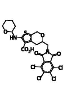 O=C(O)c1c(NC2CCCCO2)sc2c1CC(CN1C(=O)c3c(Cl)c(Cl)c(Cl)c(Cl)c3C1=O)OC2